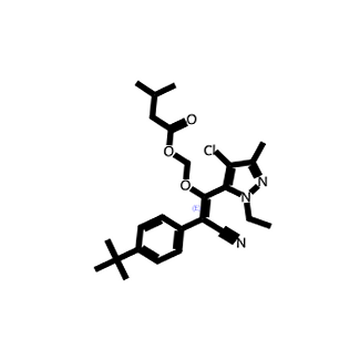 CCn1nc(C)c(Cl)c1/C(OCOC(=O)CC(C)C)=C(\C#N)c1ccc(C(C)(C)C)cc1